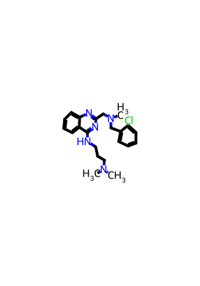 CN(C)CCCNc1nc(CN(C)Cc2ccccc2Cl)nc2ccccc12